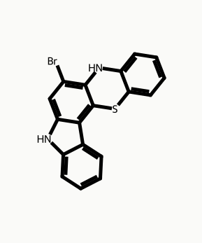 Brc1cc2[nH]c3ccccc3c2c2c1Nc1ccccc1S2